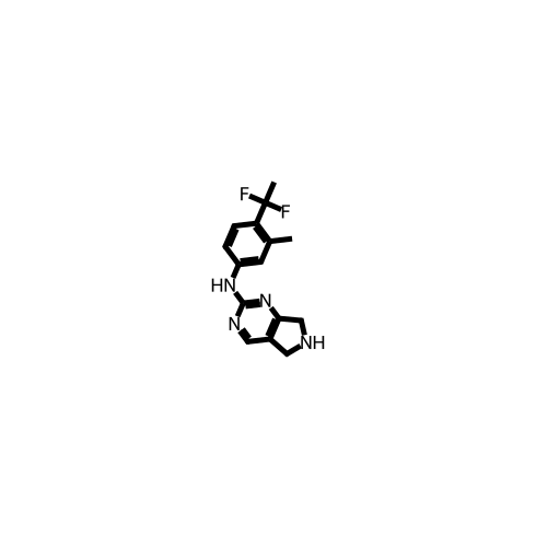 Cc1cc(Nc2ncc3c(n2)CNC3)ccc1C(C)(F)F